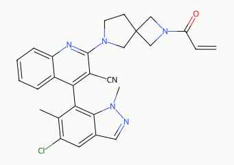 C=CC(=O)N1CC2(CCN(c3nc4ccccc4c(-c4c(C)c(Cl)cc5cnn(C)c45)c3C#N)C2)C1